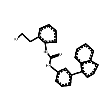 O=C(Nc1cccc(-c2cccc3ccccc23)c1)Nc1ccccc1CCO